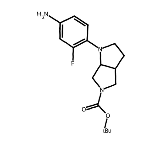 CC(C)(C)OC(=O)N1CC2CCN(c3ccc(N)cc3F)C2C1